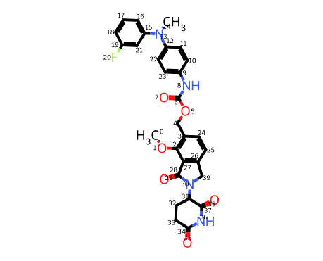 COc1c(COC(=O)Nc2ccc(N(C)c3cccc(F)c3)cc2)ccc2c1C(=O)N(C1CCC(=O)NC1=O)C2